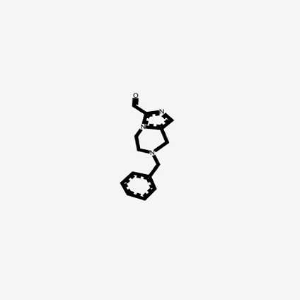 O=Cc1ncc2n1CCN(Cc1ccccc1)C2